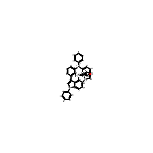 c1ccc(N2c3cccc4c3[PH]3(c5c(ccc6c5c-4cn6-c4ccccc4)-n4ccc[n+]43)[n+]3ccccc32)cc1